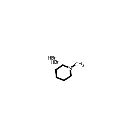 Br.Br.CN1CCCCC1